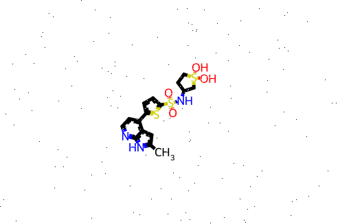 Cc1cc2c(-c3ccc(S(=O)(=O)NC4CCS(O)(O)C4)s3)ccnc2[nH]1